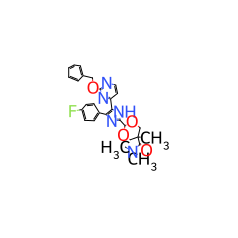 CN(C)C(=O)C1(C)COC(c2nc(-c3ccc(F)cc3)c(-c3ccnc(OCc4ccccc4)n3)[nH]2)OC1